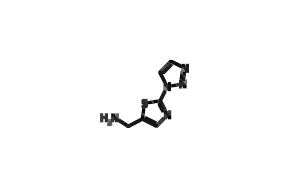 NCc1cnc(-n2ccnn2)s1